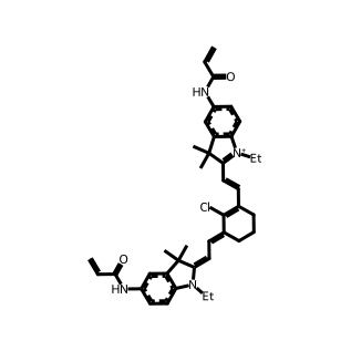 C=CC(=O)Nc1ccc2c(c1)C(C)(C)C(/C=C/C1=C(Cl)C(=C/C=C3/N(CC)c4ccc(NC(=O)C=C)cc4C3(C)C)/CCC1)=[N+]2CC